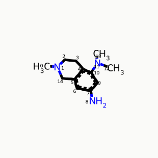 CN1CCc2c(cc(N)cc2N(C)C)C1